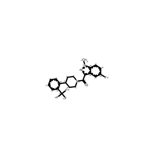 Cn1nc(C(=O)N2CCC(c3ccccc3C(F)(F)F)CC2)c2cc(F)ccc21